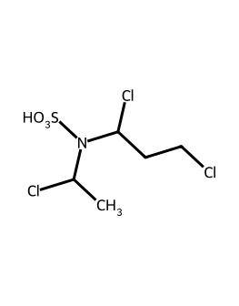 CC(Cl)N(C(Cl)CCCl)S(=O)(=O)O